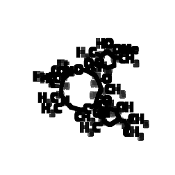 CCC(=O)C[C@@H]1[C@@H](C)N(C)C[C@H](C)C[C@@](C)(O)[C@H](O[C@@H]2O[C@H](C)C[C@H](N(C)C)[C@H]2O)[C@@H](C)[C@H](O[C@H]2C[C@@](C)(OC)[C@@H](O)[C@H](C)O2)[C@@H](C)C(=O)O[C@H](CC)[C@@]1(C)O